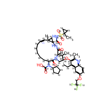 Cc1nc2ccc(OCC(F)(F)F)cc2c2c1O[C@@]1(CC2)CN2C(=O)[C@@H](N(C(=O)O)C3CCCC3)CCCCC/C=C\[C@@H]3C[C@@]3(C(=O)NS(=O)(=O)C3(C)CC3)NC(=O)[C@@H]2C1C